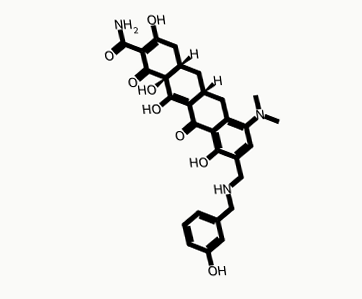 CN(C)c1cc(CNCc2cccc(O)c2)c(O)c2c1C[C@H]1C[C@H]3CC(O)=C(C(N)=O)C(=O)[C@@]3(O)C(O)=C1C2=O